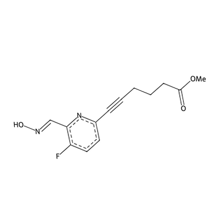 COC(=O)CCCC#Cc1ccc(F)c(/C=N/O)n1